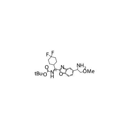 COCC(N)c1ccc2oc([C@@H](NC(=O)OC(C)(C)C)C3CCC(F)(F)CC3)nc2c1